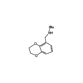 CC(C)(C)NCc1cccc2c1OCCO2